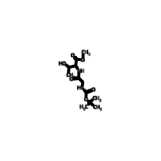 COC(=O)C(NC(=O)CNC(=O)OC(C)(C)C)C(C)O